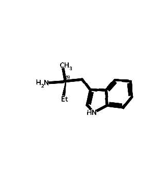 CC[C@](C)(N)Cc1c[nH]c2ccccc12